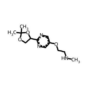 CNCCOc1cnc(C2COC(C)(C)O2)nc1